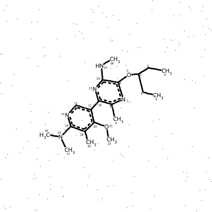 CCC(CC)Oc1nc(C)c(-c2cnc(N(C)C)c(C)c2OC)nc1NC